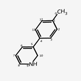 Cc1ccc(C2=CC=CNC2)cc1